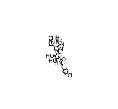 Cn1ccc(-c2cn([C@@H]3O[C@H](C(=O)NCCc4ccc(Cl)cc4)[C@@H](O)[C@H]3O)c3ncnc(N)c23)n1